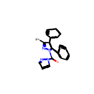 CC(C)c1nn(C(=O)n2cccn2)c(-c2ccccc2)c1-c1ccccc1